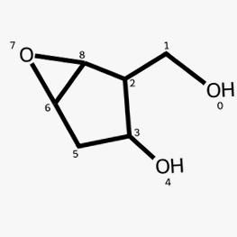 OCC1C(O)CC2OC21